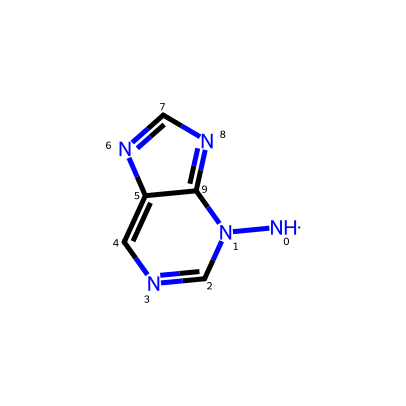 [NH]n1cncc2ncnc1-2